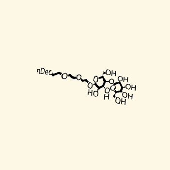 CCCCCCCCCCCCOCCOCCO[C@@H]1O[C@H](CO)[C@@H](O[C@@H]2O[C@H](CO)[C@H](O)[C@H](O)[C@H]2O)[C@H](O)[C@H]1O